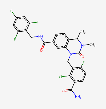 CC1c2ccc(C(=O)NCc3c(F)cc(F)cc3F)cc2N(Cc2c(F)ccc(C(N)=O)c2Cl)C(=O)N1C